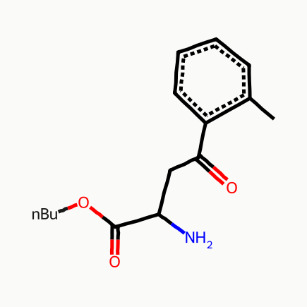 CCCCOC(=O)C(N)CC(=O)c1ccccc1C